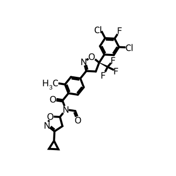 Cc1cc(C2=NO[C@@](c3cc(Cl)c(F)c(Cl)c3)(C(F)(F)F)C2)ccc1C(=O)N(C=O)C1CC(C2CC2)=NO1